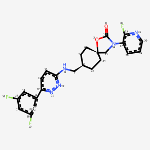 O=C1O[C@]2(CC[C@H](CNc3ccc(-c4cc(F)cc(F)c4)nn3)CC2)CN1c1cccnc1F